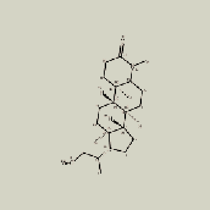 COCC(C)[C@H]1CC[C@H]2[C@@H]3CCC4N(C)C(=O)CC[C@]4(C)[C@H]3CC[C@]12C